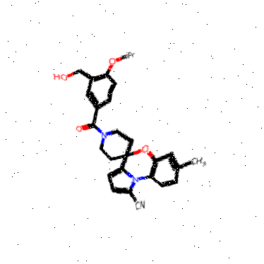 Cc1ccc2c(c1)OC1(CCN(C(=O)c3ccc(OC(C)C)c(CO)c3)CC1)c1ccc(C#N)n1-2